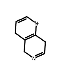 C1=C[N]C2=C(C1)CN=CC2